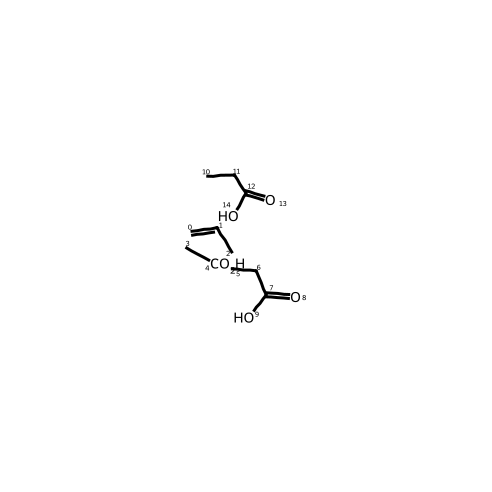 C=CC.CC(=O)O.CCC(=O)O.CCC(=O)O